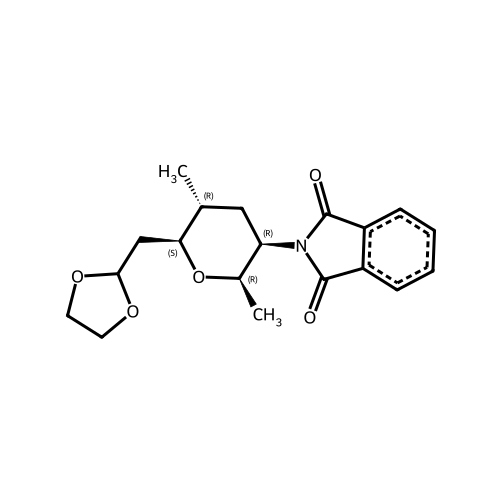 C[C@@H]1C[C@@H](N2C(=O)c3ccccc3C2=O)[C@@H](C)O[C@H]1CC1OCCO1